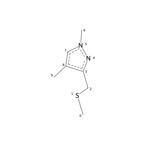 CSCc1nn(C)cc1C